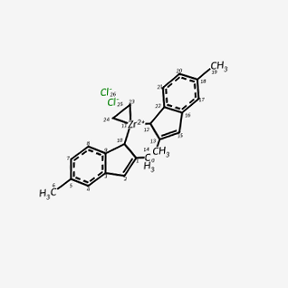 CC1=Cc2cc(C)ccc2[CH]1[Zr+2]1([CH]2C(C)=Cc3cc(C)ccc32)[CH2][CH2]1.[Cl-].[Cl-]